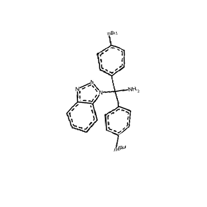 CCCCc1ccc(C(N)(c2ccc(CCCC)cc2)n2nnc3ccccc32)cc1